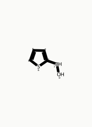 OBc1cccs1